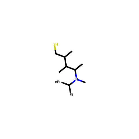 CCCCC(CC)N(C)C(C)C(C)C(C)CS